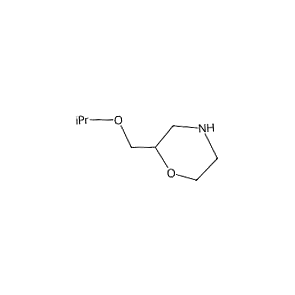 CC(C)OCC1CNCCO1